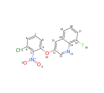 O=[N+]([O-])c1c(Cl)cccc1Oc1cnc2c(F)cccc2c1